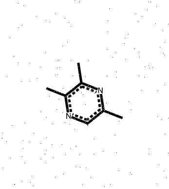 Cc1[c]nc(C)c(C)n1